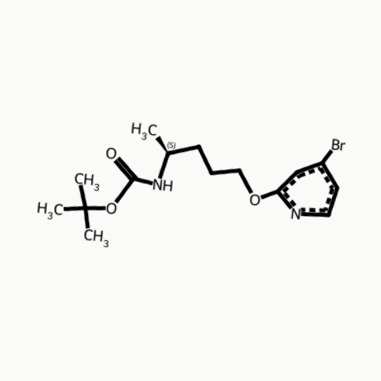 C[C@@H](CCCOc1cc(Br)ccn1)NC(=O)OC(C)(C)C